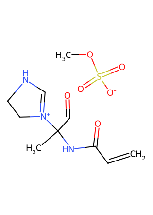 C=CC(=O)NC(C)(C=O)[N+]1=CNCC1.COS(=O)(=O)[O-]